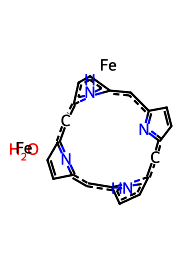 C1=Cc2cc3ccc(cc4nc(cc5ccc(cc1n2)[nH]5)C=C4)[nH]3.O.[Fe].[Fe]